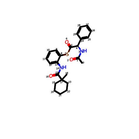 CC(=O)N[C@@H](C(=O)Sc1ccccc1NC(=O)C1(C)CCCCC1)c1ccccc1